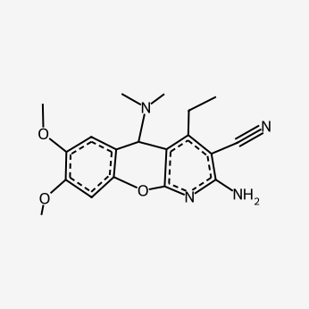 CCc1c(C#N)c(N)nc2c1C(N(C)C)c1cc(OC)c(OC)cc1O2